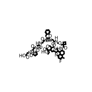 CC[C@@]1(O)C(=O)OCc2c1cc1n(c2=O)Cc2c-1nc1cc(F)c(C)c3c1c2[C@@H](NC(=O)C1(COCNC(=O)CNC(=O)[C@H](Cc2ccccc2)NC(=O)CNC(=O)CNC(=O)[C@@H](CNCC(=O)O)N2C(=O)C=CC2=O)CCC1)CC3